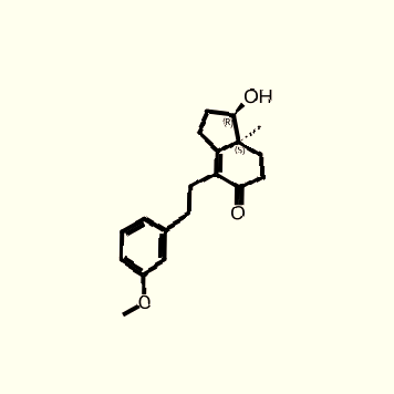 COc1cccc(CCC2=C3CC[C@@H](O)[C@@]3(C)CCC2=O)c1